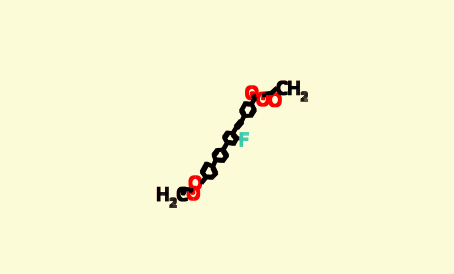 C=CC(=O)COC(=O)c1ccc(C#Cc2ccc(-c3ccc(-c4ccc(COC(=O)C=C)cc4)cc3)cc2F)cc1